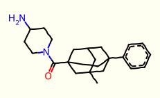 CC12CC3CC(C(=O)N4CCC(N)CC4)(C1)CC(c1ccccc1)(C3)C2